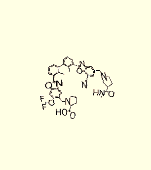 CNC(=O)C1CCN(Cc2cc(C#N)c3oc(-c4cccc(-c5cccc(-c6nc7cc(CN8CCC[C@H]8C(=O)O)c(OC(F)F)cc7o6)c5C)c4C)nc3c2)C1